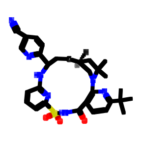 CC(C)(C)c1ccc2c(n1)N1C[C@@H](CCC(c3ccc(C#N)cn3)Nc3cccc(n3)S(=O)(=O)NC2=O)CC1(C)C